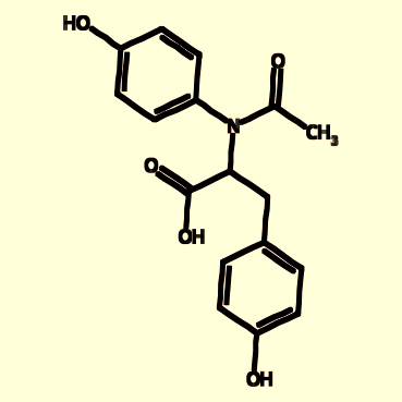 CC(=O)N(c1ccc(O)cc1)C(Cc1ccc(O)cc1)C(=O)O